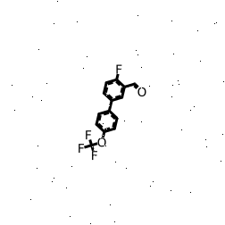 O=Cc1cc(-c2ccc(OC(F)(F)F)cc2)ccc1F